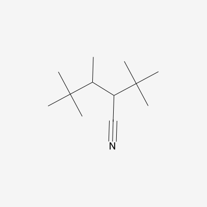 CC(C(C#N)C(C)(C)C)C(C)(C)C